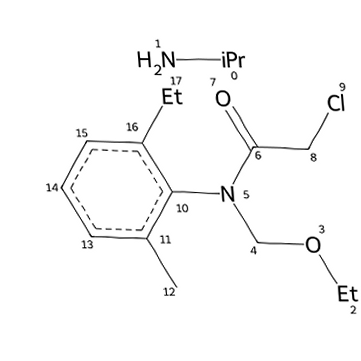 CC(C)N.CCOCN(C(=O)CCl)c1c(C)cccc1CC